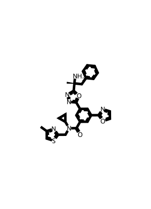 Cc1csc(CN(C(=O)c2cc(-c3ncco3)cc(-c3nnc([C@](C)(N)Cc4ccccc4)o3)c2)C2CC2)n1